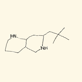 CC(C)(C)CC1CC2NCCCC2CN1